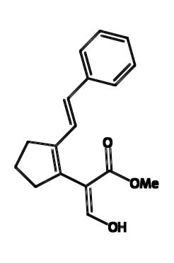 COC(=O)C(=CO)C1=C(C=Cc2ccccc2)CCC1